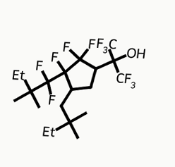 CCC(C)(C)CC1CC(C(O)(C(F)(F)F)C(F)(F)F)C(F)(F)C1(F)C(F)(F)C(C)(C)CC